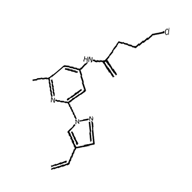 C=Cc1cnn(-c2cc(NC(=C)CCCCl)cc(C)n2)c1